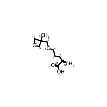 C=C(CCCOCC1(C)COC1)C(=O)O